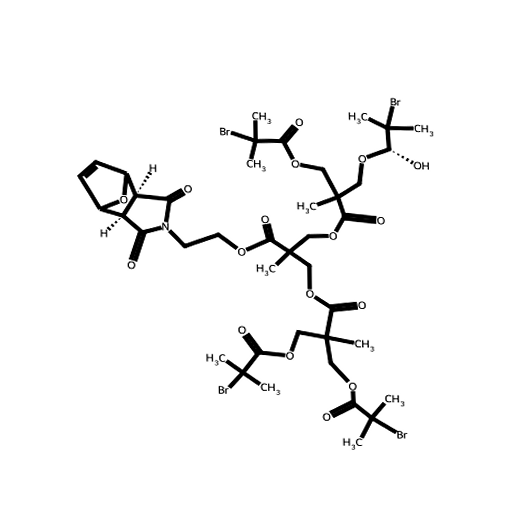 CC(C)(Br)C(=O)OCC(C)(COC(=O)C(C)(C)Br)C(=O)OCC(C)(COC(=O)C(C)(COC(=O)C(C)(C)Br)CO[C@@H](O)C(C)(C)Br)C(=O)OCCN1C(=O)[C@@H]2C3C=CC(O3)[C@@H]2C1=O